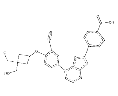 N#Cc1cc(-c2ccnc3cc(-c4ccc(C(=O)O)cc4)oc23)ccc1OC1CC(CO)(CCl)C1